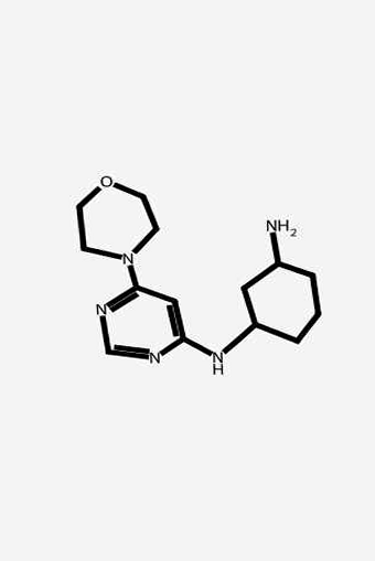 NC1CCCC(Nc2cc(N3CCOCC3)ncn2)C1